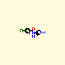 O=C(NC1CC2CC1CN2)c1ccc(Cl)cn1